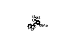 CCN(CC)C(=O)c1ccc(OC)cc1CC(=O)c1cccnc1N(C)C